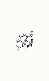 CSc1ncc2ccccc2c1C(F)(F)F